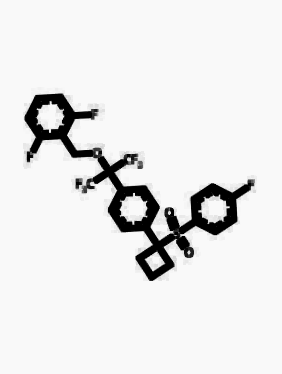 O=S(=O)(c1ccc(F)cc1)C1(c2ccc(C(OCc3c(F)cccc3F)(C(F)(F)F)C(F)(F)F)cc2)CCC1